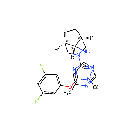 CCn1nc(N[C@@H]2[C@@H]3CC[C@H]2CN(c2cc(C)ncn2)C3)nc1Oc1cc(F)cc(F)c1